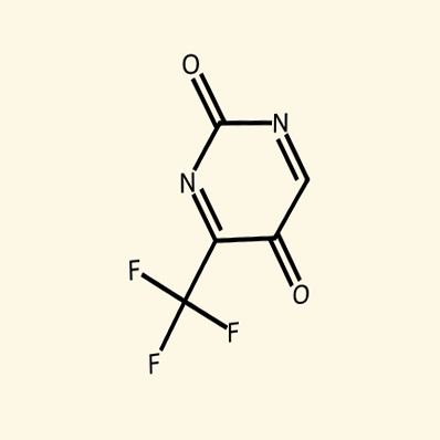 O=C1N=CC(=O)C(C(F)(F)F)=N1